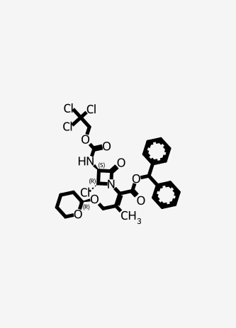 CC(CO[C@@H]1CCCCO1)=C(C(=O)OC(c1ccccc1)c1ccccc1)N1C(=O)[C@H](NC(=O)OCC(Cl)(Cl)Cl)[C@H]1Cl